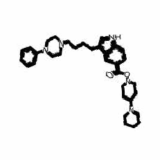 O=C(ON1CCC(N2CCCCC2)CC1)c1ccc2[nH]cc(CCCCN3CCN(c4ccccc4)CC3)c2c1